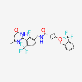 CCc1cc(=O)[nH]c(-c2c(C(F)(F)F)ccc(CNC(=O)[C@H]3C[C@H](OCc4ccccc4C(F)(F)F)C3)c2F)n1